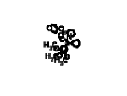 COc1cc([C@@H](C(=O)N2CCCC[C@H]2C(=O)OC2CCOCC2)C2CCCCC2)cc(OC)c1OC